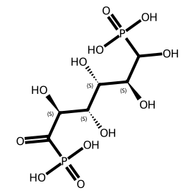 O=C([C@@H](O)[C@@H](O)[C@H](O)[C@H](O)C(O)P(=O)(O)O)P(=O)(O)O